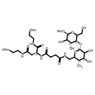 CCCCCCCCCCCCNC(=O)C[C@H](NC(=O)CCC(=O)NCC1O[C@H](O[C@@H]2C(CO)O[C@H](OC)C(O)[C@H]2O)C(O)[C@@H](O)[C@@H]1C)C(=O)NCCCCCCCCCCCC